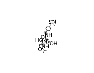 Cc1ncsc1-c1ccc([C@@H](C)NC(=O)[C@H]2C[C@H](O)CN2C(O)[C@H](NC(=O)C(C)C)C(C)(C)C)cc1